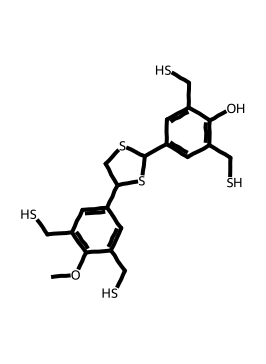 COc1c(CS)cc(C2CSC(c3cc(CS)c(O)c(CS)c3)S2)cc1CS